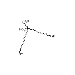 CC(C)CCCCCCCCCCCCCCC(CCCCCCCCCCCCCCC(C)C)(CCCCC(=O)O)C(=O)O